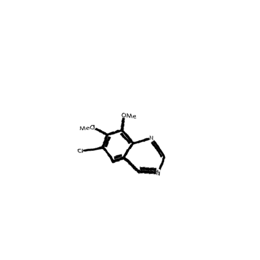 COc1c(Cl)cc2[c]ncnc2c1OC